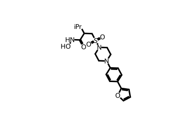 CC(C)C(CS(=O)(=O)N1CCN(c2ccc(-c3ccco3)cc2)CC1)C(=O)NO